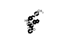 CN1CCN(CCc2ccc(Nc3ncc4c(=O)c(C(=O)N5CCCCC5)cn(-c5ccc6c(c5)CCC6)c4n3)cc2)CC1